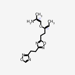 C/C=C(/CCc1nc(CCc2ncon2)no1)O/C=C(/C)N